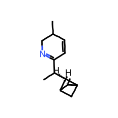 CC1C=CC(C(C)[C@H]2C3CC2[C@@H]3C)=NC1